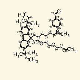 CCC(C)(C)c1ccc2c(c1)C(CCCCCCN(C)c1ccc(C=O)cc1)(CCOCCOCCOC)c1cc(C(C)(C)CC)ccc1-2